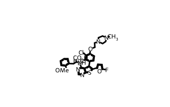 COc1ccccc1C[C@@H](Nc1ncnc2sc(-c3ccc(F)o3)c(-c3ccc(OCCN4CCN(C)CC4)c(Cl)c3C)c12)C(=O)O